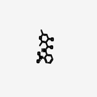 Cc1cc(=O)c(C(=O)Nc2ccccc2[N+](=O)[O-])c(C)o1